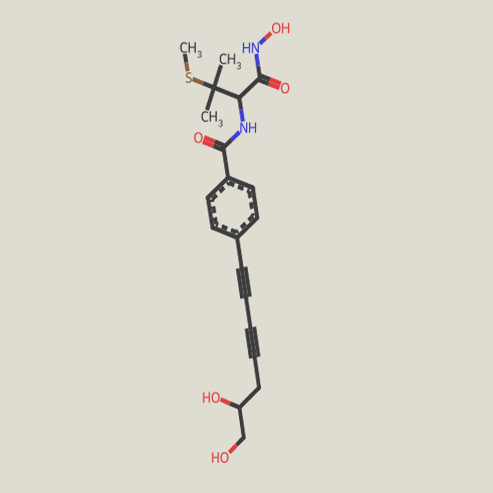 CSC(C)(C)C(NC(=O)c1ccc(C#CC#CCC(O)CO)cc1)C(=O)NO